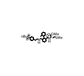 CCCCS(=O)(=O)c1ccc(CCNCc2cccc(C(=O)N[C@@H](CCSC)C(=O)OC)c2-c2ccccc2C)cc1